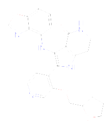 O=C1NCCc2[nH]c(-c3ccncc3OCC3CCCO3)c(Nc3cccc4ocnc34)c21